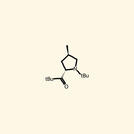 C[C@@H]1C[C@@H](C(=O)C(C)(C)C)N(C(C)(C)C)C1